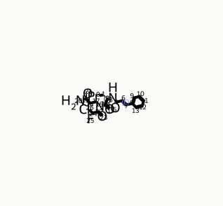 CC(C)C[C@H](NC(=O)/C=C/c1ccccc1)C(=O)N(CCC(N)=O)C(=O)C(F)Cl